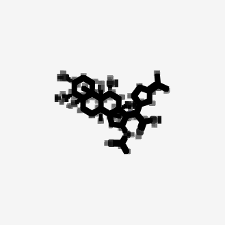 CC(=O)O[C@H]1C[C@@]2(C)[C@@](N)(C[C@@H](O)[C@H]3[C@@]4(C)CC[C@@H](O)[C@@H](N)[C@@H]4CC[C@@]32C)/C1=C(/C(=O)O)C1CCC(=C(C)C)C1